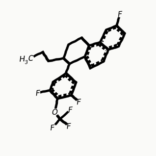 CCCC1CCc2c(ccc3ccc(F)cc23)C1c1cc(F)c(OC(F)(F)F)c(F)c1